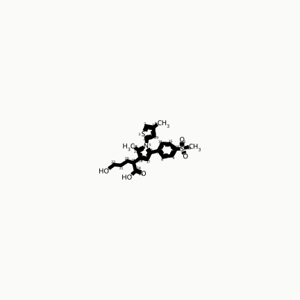 Cc1csc(-n2c(-c3ccc(S(C)(=O)=O)cc3)cc(C(CCCO)C(=O)O)c2C)c1